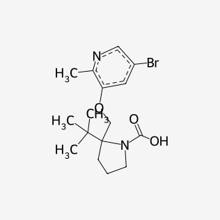 Cc1ncc(Br)cc1OCC1(C(C)(C)C)CCCN1C(=O)O